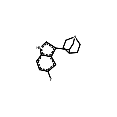 Fc1ccc2[nH]cc(C3CN4CCC3CC4)c2c1